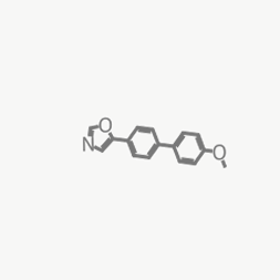 COc1ccc(-c2ccc(-c3cnco3)cc2)cc1